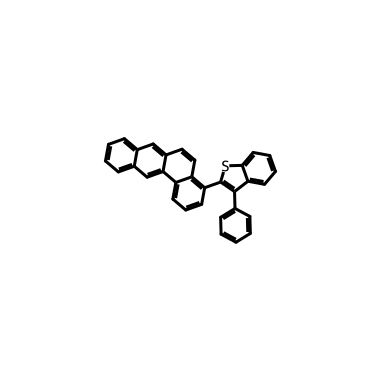 c1ccc(-c2c(-c3cccc4c3ccc3cc5ccccc5cc34)sc3ccccc23)cc1